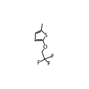 Cc1ccc(OCC(F)(F)F)s1